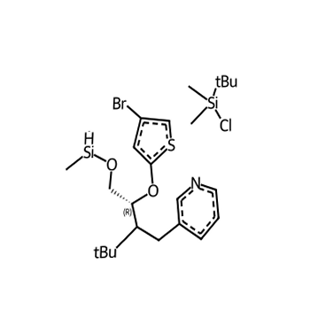 CC(C)(C)[Si](C)(C)Cl.C[SiH](C)OC[C@H](Oc1cc(Br)cs1)C(Cc1cccnc1)C(C)(C)C